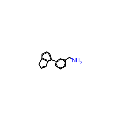 NCc1cccc(-c2cccc3c2C=CC3)c1